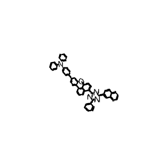 c1ccc(-c2nc(-c3ccc4ccccc4c3)nc(-c3ccc4c5c(cccc35)-c3ccc(-c5ccc(N(c6ccccc6)c6ccccc6)cc5)cc3O4)n2)cc1